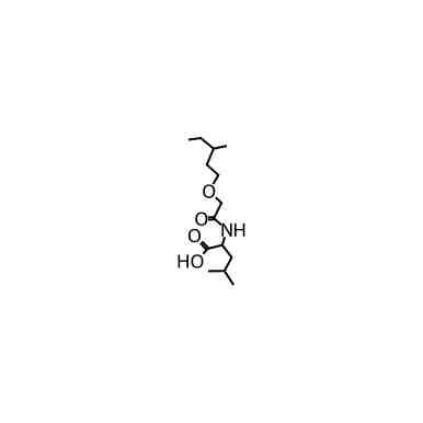 CCC(C)CCOCC(=O)NC(CC(C)C)C(=O)O